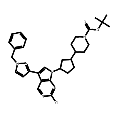 CC(C)(C)OC(=O)N1CCC(C2CCC(n3cc(-c4ccn(Cc5ccccc5)n4)c4cnc(Cl)nc43)C2)CC1